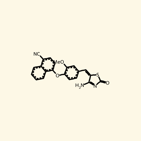 COc1cc(C=C2SC(=O)N=C2N)ccc1Oc1ccc(C#N)c2ccccc12